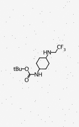 CC(C)(C)OC(=O)NC1CCC(NCC(F)(F)F)CC1